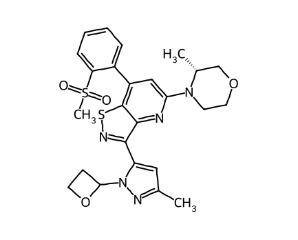 Cc1cc(-c2nsc3c(-c4ccccc4S(C)(=O)=O)cc(N4CCOC[C@H]4C)nc23)n(C2CCO2)n1